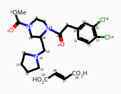 COC(=O)N1CCN(C(=O)Cc2ccc(Cl)c(Cl)c2)C(CN2CCCC2)C1.O=C(O)/C=C/C(=O)O